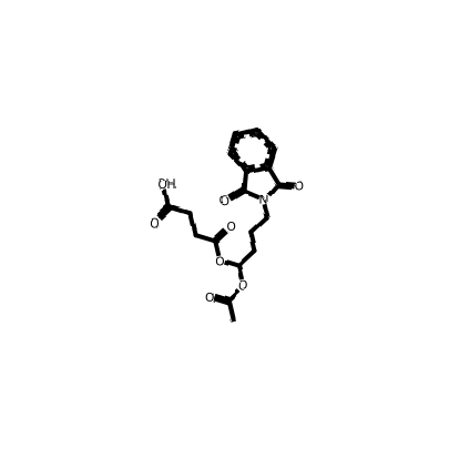 CC(=O)OC(CCCN1C(=O)c2ccccc2C1=O)OC(=O)CCC(=O)O